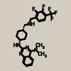 CN(C)c1nc(N[C@H]2CC[C@@H](CNCc3ccc(C(F)(F)F)c(F)c3F)CC2)nc2ccccc12